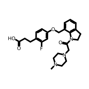 CN1CCN(CC(=O)N2CCc3cccc(COc4ccc(CCC(=O)O)c(F)c4)c32)CC1